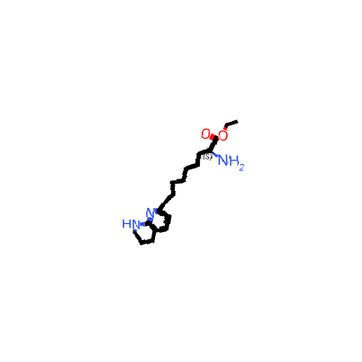 CCOC(=O)[C@@H](N)CCCCCCCc1ccc2c(n1)NCCC2